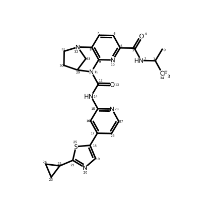 CC(NC(=O)c1ccc2c(n1)N(C(=O)Nc1cc(-c3cnc(C4CC4)s3)ccn1)C1CCN2C1)C(F)(F)F